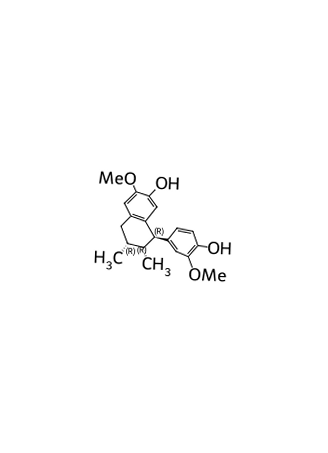 COc1cc([C@@H]2c3cc(O)c(OC)cc3C[C@@H](C)[C@H]2C)ccc1O